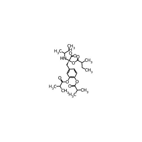 CCC(C)N[C@@](Cc1ccc(OC(=O)C(C)C)c(OC(=O)C(C)C)c1)(OC(=O)C(C)CC)C(=O)O